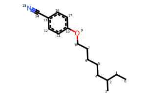 CCC(C)CCCCCOc1ccc(C#N)cc1